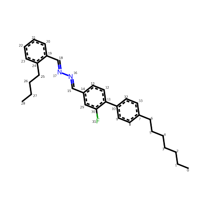 CCCCCCCc1ccc(-c2ccc(C=NN=Cc3ccccc3CCCC)cc2F)cc1